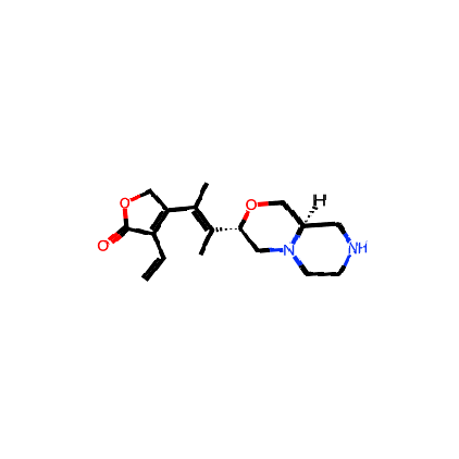 C=CC1=C(/C(C)=C(\C)[C@H]2CN3CCNC[C@@H]3CO2)COC1=O